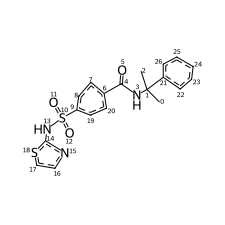 CC(C)(NC(=O)c1ccc(S(=O)(=O)Nc2nccs2)cc1)c1ccccc1